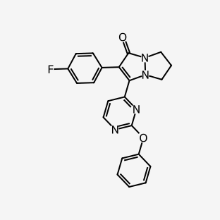 O=c1c(-c2ccc(F)cc2)c(-c2ccnc(Oc3ccccc3)n2)n2n1CCC2